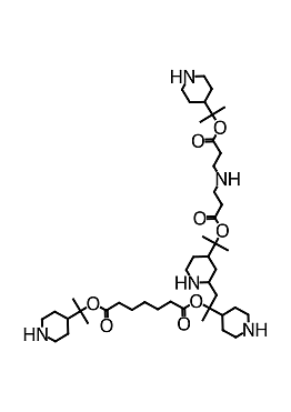 CC(C)(OC(=O)CCCCCC(=O)OC(C)(CC1CC(C(C)(C)OC(=O)CCNCCC(=O)OC(C)(C)C2CCNCC2)CCN1)C1CCNCC1)C1CCNCC1